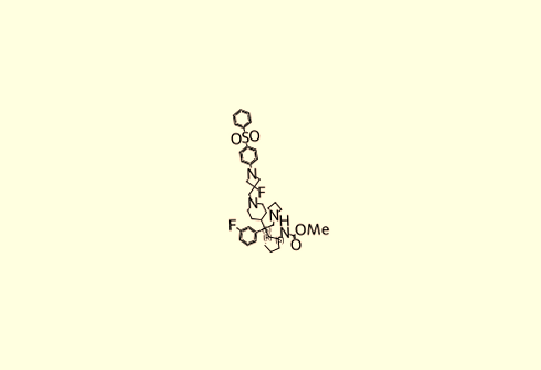 COC(=O)N[C@H]1CCC[C@@H]1[C@](CN1CCC1)(c1cccc(F)c1)C1CCN(CC2(F)CN(c3ccc(S(=O)(=O)c4ccccc4)cc3)C2)CC1